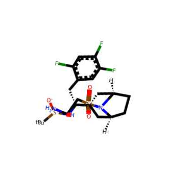 CC(C)(C)[S+]([O-])N[C@H](Cc1cc(F)c(F)cc1F)[C@@H]1C[C@H]2CC[C@@H](C1)N2S(=O)(=O)CCN